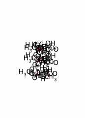 CC(=O)OCC(=O)[C@@]1(O)CC[C@H]2[C@@H]3CCC4=CC(=O)CC[C@]4(C)[C@H]3[C@@H](O)C[C@@]21C.CC(=O)OCC(=O)[C@@]12OC(C)(C)O[C@@H]1C[C@H]1[C@@H]3C[C@H](F)C4=CC(=O)C=C[C@]4(C)[C@@]3(F)[C@@H](O)C[C@@]12C.CC1(C)O[C@@H]2C[C@H]3[C@@H]4C[C@H](F)C5=CC(=O)CC[C@]5(C)[C@H]4[C@@H](O)C[C@]3(C)[C@]2(C(=O)CO)O1